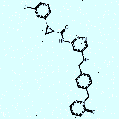 O=C(Nc1cc(NCc2ccc(Cn3ccccc3=O)cc2)cnn1)[C@@H]1C[C@@H]1c1cccc(Cl)c1